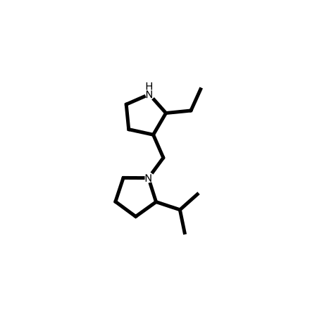 CCC1NCCC1CN1CCCC1C(C)C